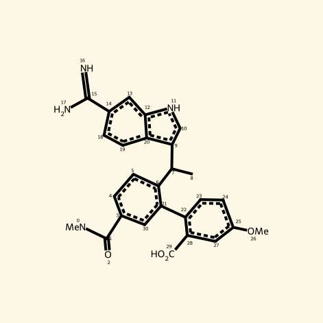 CNC(=O)c1ccc(C(C)c2c[nH]c3cc(C(=N)N)ccc23)c(-c2ccc(OC)cc2C(=O)O)c1